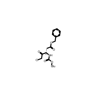 CC(C)(C)OC(=O)N[C@@H](CC(=O)OCc1ccccc1)C(=O)CCl